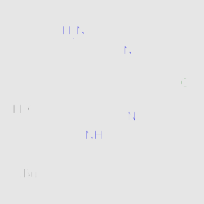 C[C@H](Nc1cc(N)nc(Cl)n1)C(C)(C)C